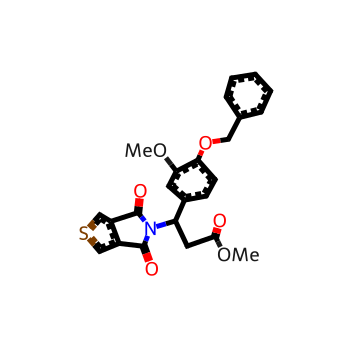 COC(=O)CC(c1ccc(OCc2ccccc2)c(OC)c1)N1C(=O)c2cscc2C1=O